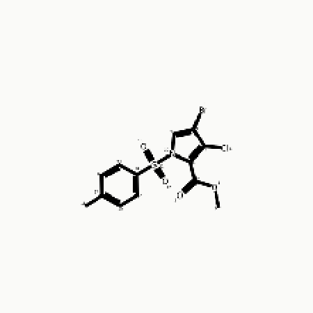 COC(=O)c1c(Cl)c(Br)cn1S(=O)(=O)c1ccc(C)cc1